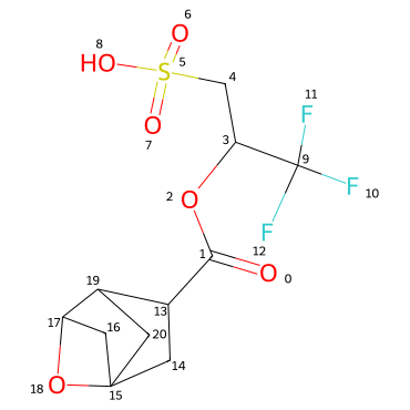 O=C(OC(CS(=O)(=O)O)C(F)(F)F)C1CC23CC(O2)C1C3